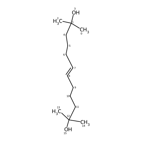 CC(C)(O)CCC/C=C/CCCC(C)(C)O